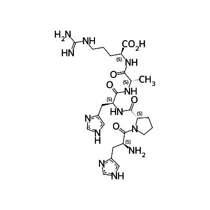 C[C@H](NC(=O)[C@H](Cc1c[nH]cn1)NC(=O)[C@@H]1CCCN1C(=O)[C@@H](N)Cc1c[nH]cn1)C(=O)N[C@@H](CCCNC(=N)N)C(=O)O